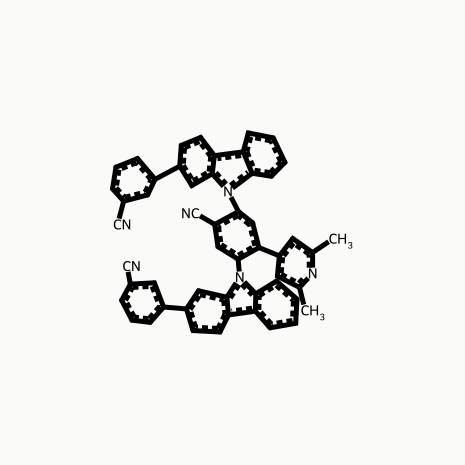 Cc1cc(-c2cc(-n3c4ccccc4c4ccc(-c5cccc(C#N)c5)cc43)c(C#N)cc2-n2c3ccccc3c3ccc(-c4cccc(C#N)c4)cc32)cc(C)n1